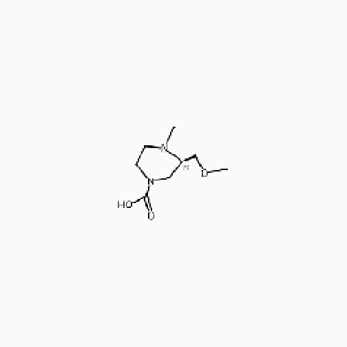 COC[C@H]1CN(C(=O)O)CCN1C